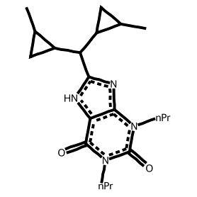 CCCn1c(=O)c2[nH]c(C(C3CC3C)C3CC3C)nc2n(CCC)c1=O